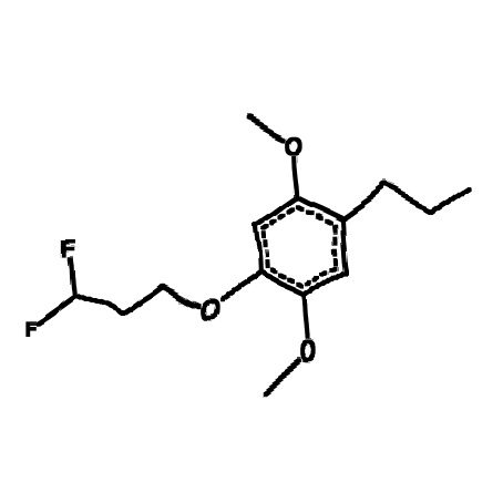 CCCc1cc(OC)c(OCCC(F)F)cc1OC